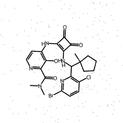 CN(C)C(=O)c1nccc(Nc2c(NC(c3nc(Br)ccc3Cl)C3(C)CCCC3)c(=O)c2=O)c1O